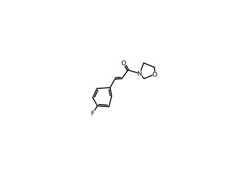 O=C(/C=C/c1ccc(F)cc1)N1CCOC1